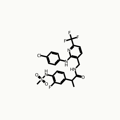 CC(C(=O)NCc1ccc(C(F)(F)F)nc1Nc1ccc(Cl)cc1)c1ccc(NS(C)(=O)=O)c(F)c1